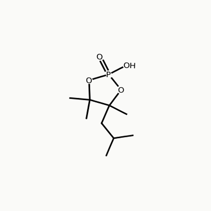 CC(C)CC1(C)OP(=O)(O)OC1(C)C